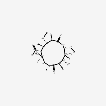 C=C(C)[C@@H]1[C@@H](C)[C@H](OC)[C@@H](C)C(=O)O[C@H](CC)[C@@](C)(O)[C@H](O)[C@@H](C)C(=O)[C@H](C)C[C@@]1(C)O